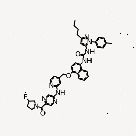 CCCCc1cc(NC(=O)Nc2ccc(OCc3ccnc(Nc4cnc(C(=O)N5CCC(F)C5)cn4)c3)c3ccccc23)n(-c2ccc(C)cc2)n1